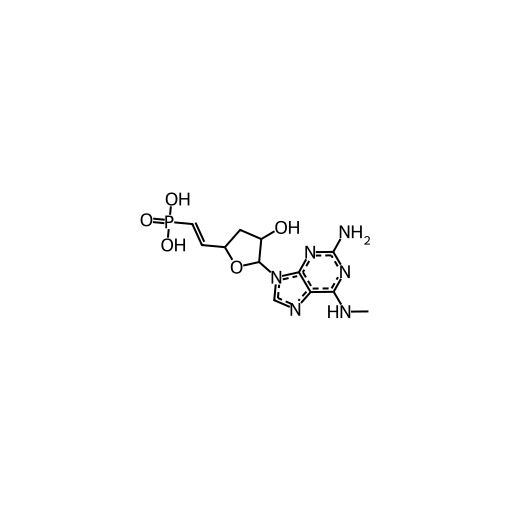 CNc1nc(N)nc2c1ncn2C1OC(C=CP(=O)(O)O)CC1O